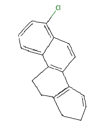 Clc1cccc2c3c(ccc12)C1=C(CCC=C1)CC3